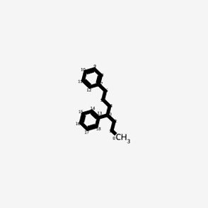 CCC[C](CCCc1ccccc1)c1ccccc1